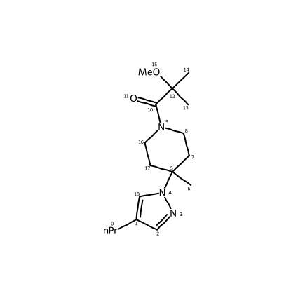 CCCc1cnn(C2(C)CCN(C(=O)C(C)(C)OC)CC2)c1